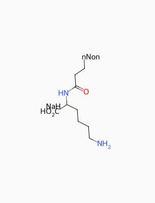 CCCCCCCCCCCC(=O)NC(CCCCN)C(=O)O.[NaH]